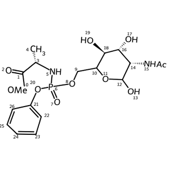 COC(=O)[C@H](C)NP(=O)(OCC1OC(O)[C@@H](NC(C)=O)[C@@H](O)[C@@H]1O)Oc1ccccc1